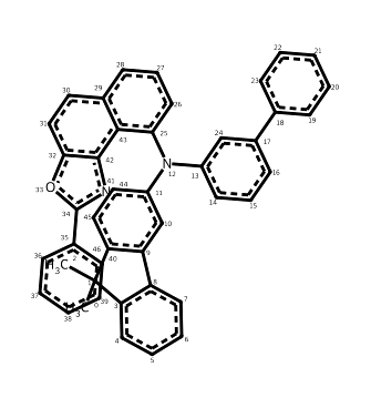 CC1(C)c2ccccc2-c2cc(N(c3cccc(-c4ccccc4)c3)c3cccc4ccc5oc(-c6ccccc6)nc5c34)ccc21